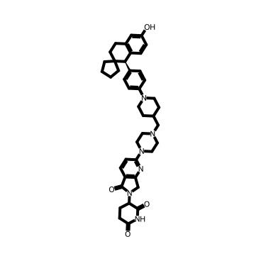 O=C1CCC(N2Cc3nc(N4CCN(CC5CCN(c6ccc([C@@H]7c8ccc(O)cc8CCC78CCCC8)cc6)CC5)CC4)ccc3C2=O)C(=O)N1